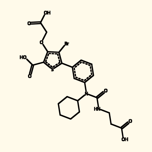 O=C(O)CCNC(=O)N(c1cccc(-c2sc(C(=O)O)c(OCC(=O)O)c2Br)c1)C1CCCCC1